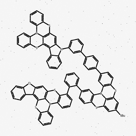 CC(C)(C)c1cc2c3c(c1)Sc1ccc(-c4ccccc4-c4cccc5c4Sc4cc6oc7ccccc7c6c6c4B5c4ccccc4S6)cc1B3c1cc(-c3ccc(-c4cccc(-n5c6ccccc6c6c7c8c(cc65)Sc5ccccc5B8c5ccccc5S7)c4)cc3)ccc1S2